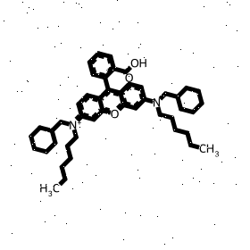 CCCCCCN(CC1CCCCC1)c1ccc2c(-c3ccccc3C(=O)O)c3cc/c(=[N+](/CCCCCC)CC4CCCCC4)cc-3oc2c1